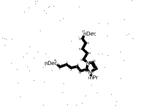 CCCCCCCCCCCCCCCC1N(CCC)C=CN1CCCCCCCCCCCCCCC